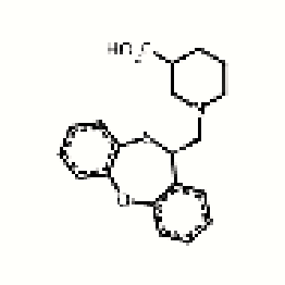 O=C(O)C1CCCN(C[C@@H]2Sc3ccccc3Oc3ccccc32)C1